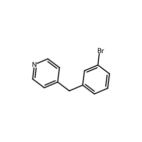 Brc1cccc(Cc2ccncc2)c1